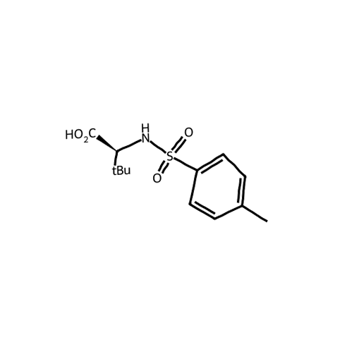 Cc1ccc(S(=O)(=O)N[C@H](C(=O)O)C(C)(C)C)cc1